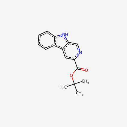 CC(C)(C)OC(=O)c1cc2c(cn1)[nH]c1ccccc12